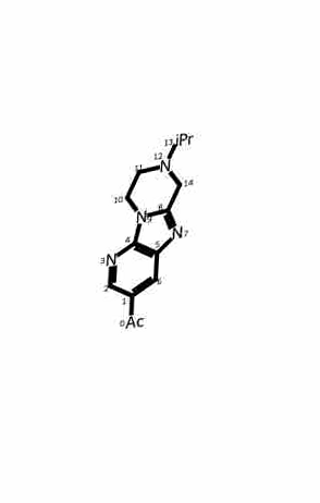 CC(=O)c1cnc2c(c1)nc1n2CCN(C(C)C)C1